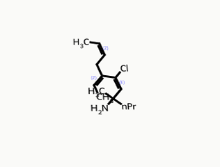 C/C=C\CC(=C/C)/C(Cl)=C\C(C)(N)CCC